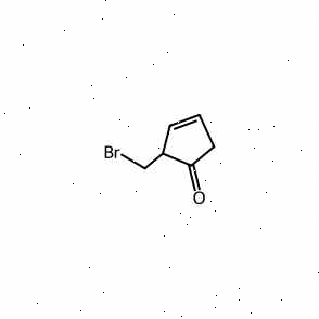 O=C1CC=CC1CBr